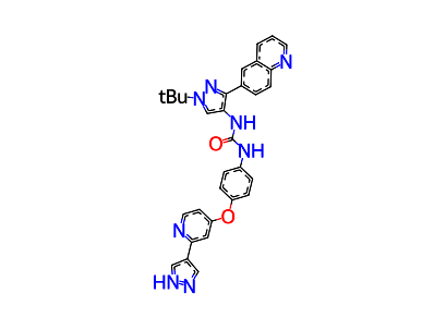 CC(C)(C)n1cc(NC(=O)Nc2ccc(Oc3ccnc(-c4cn[nH]c4)c3)cc2)c(-c2ccc3ncccc3c2)n1